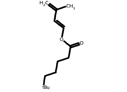 C=C(C)C=COC(=O)CCCCC(C)(C)C